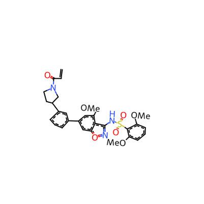 C=CC(=O)N1CCC(c2cccc(-c3cc(OC)c4c(NS(=O)(=O)c5c(OC)cccc5OC)noc4c3)c2)C1